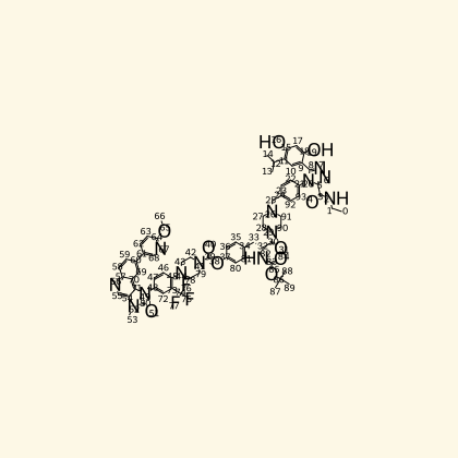 CCNC(=O)c1nnc(-c2cc(C(C)C)c(O)cc2O)n1-c1ccc(CN2CCN(C(=O)[C@@H](Cc3ccc(OC(=O)N4CCN(c5ccc(-n6c(=O)n(C)c7cnc8ccc(-c9ccc(OC)nc9)cc8c76)cc5C(F)(F)F)CC4)cc3)NC(=O)OC(C)(C)C)CC2)cc1